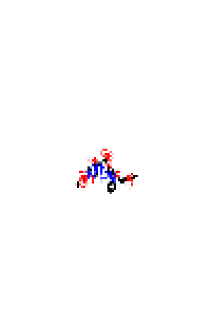 CCOC(=O)/C=C/COc1cc(C(=O)N[C@@H](CCC(=O)O)C(=O)N2CCN(OC(=O)OCC)CC2)nn1-c1ccccc1